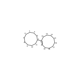 C1=C(C2CCCCCCCCC2)CCCCCCCC1